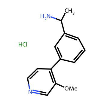 COc1cnccc1-c1cccc(C(C)N)c1.Cl